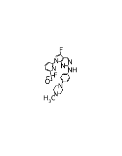 CN1CCN(c2ccc(Nc3ncc4c(F)cn(-c5cccc(C6(F)COC6)n5)c4n3)cc2)CC1